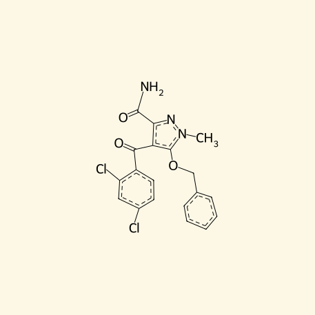 Cn1nc(C(N)=O)c(C(=O)c2ccc(Cl)cc2Cl)c1OCc1ccccc1